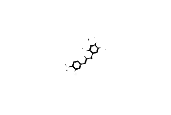 COc1cc(C(=O)C(Cl)=Cc2ccc(N(C)C)c(N)c2)c(OC)c(OC)c1OC